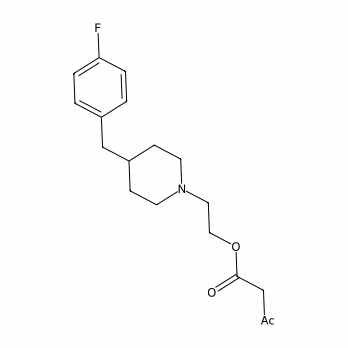 CC(=O)CC(=O)OCCN1CCC(Cc2ccc(F)cc2)CC1